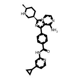 C[C@H]1CC[C@@H](c2nc(-c3ccc(C(=O)Nc4cc(C5CC5)ccn4)cc3)c3c(N)nccn23)CN1